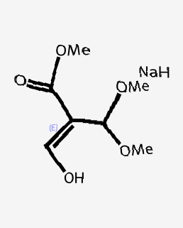 COC(=O)/C(=C/O)C(OC)OC.[NaH]